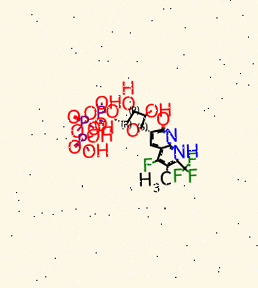 Cc1c(C(F)(F)F)[nH]c2nc(=O)c([C@@H]3O[C@H](COP(=O)(O)OP(=O)(O)OP(=O)(O)O)[C@H](O)C3O)cc-2c1F